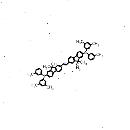 Cc1cccc(N(c2cc(C)cc(C)c2)c2ccc3c(c2)C(C)(C)c2cc(/C=C/c4ccc5c(c4)C(C)(C)c4cc(N(c6cccc(C)c6)c6cc(C)cc(C)c6)ccc4-5)ccc2-3)c1